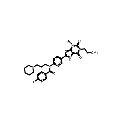 CCCn1c(=O)n(CCOC)c(=O)c2[nH]c(-c3ccc(N(CCCN4CCCCC4)C(=O)c4ccc(F)nc4)nc3)nc21